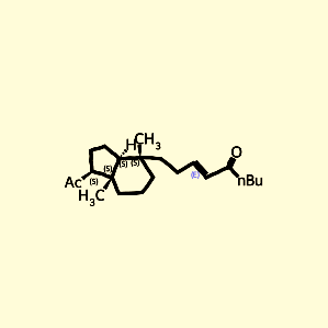 CCCCC(=O)/C=C/CC[C@]1(C)CCC[C@]2(C)[C@@H](C(C)=O)CC[C@@H]12